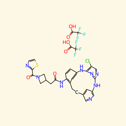 O=C(CC1CN(C(=O)c2nccs2)C1)Nc1ccc2cc1CCc1cncc(c1)Nc1ncc(Cl)c(n1)N2.O=C(O)C(F)(F)F.O=C(O)C(F)(F)F